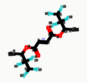 CC(C)(C)C(OC(=O)/C=C/C(=O)OC(C(C)(C)C)C(F)(F)C(F)F)C(F)(F)C(F)F